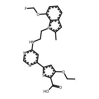 CCOc1cc(-c2cc(NCCn3c(C)cc4cccc(OCF)c43)ncn2)sc1C(=O)O